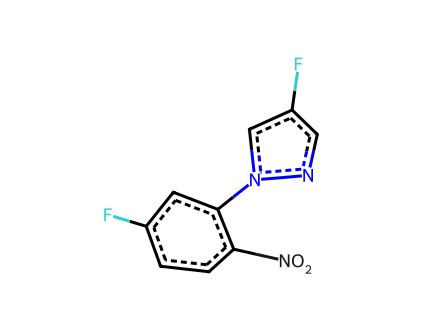 O=[N+]([O-])c1ccc(F)cc1-n1cc(F)cn1